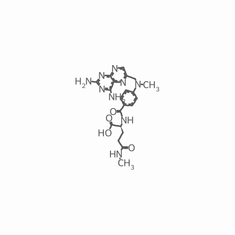 CNC(=O)CC[C@H](NC(=O)c1ccc(N(C)Cc2cnc3nc(N)nc(N)c3n2)cc1)C(=O)O